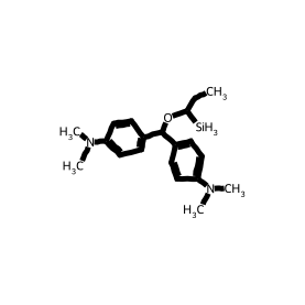 CCC([SiH3])OC(c1ccc(N(C)C)cc1)c1ccc(N(C)C)cc1